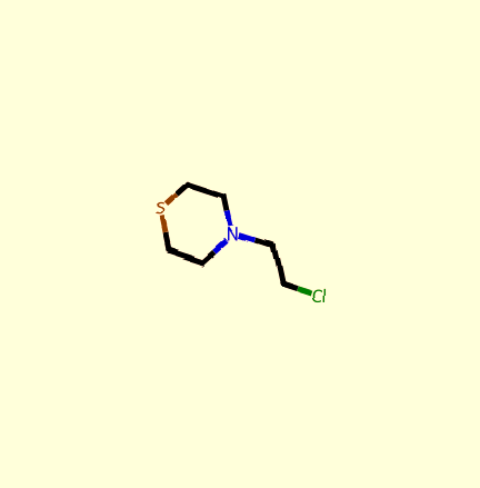 ClCCN1CCSCC1